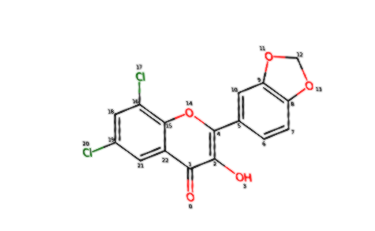 O=c1c(O)c(-c2ccc3c(c2)OCO3)oc2c(Cl)cc(Cl)cc12